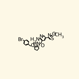 COc1nc(-c2cnc(N)c(C(=O)N[C@H]3CCC[C@@H]3OCc3ccc(Br)cc3)c2)cs1